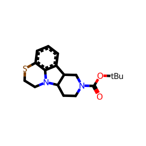 CC(C)(C)OC(=O)N1CCC2C(C1)c1cccc3c1N2CCS3